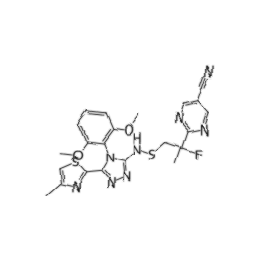 COc1cccc(OC)c1-n1c(NSCC(C)(F)c2ncc(C#N)cn2)nnc1-c1nc(C)cs1